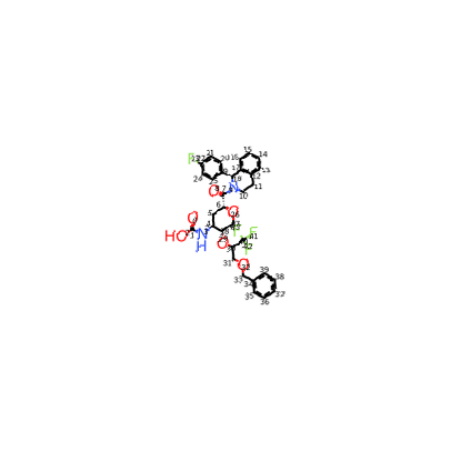 O=C(O)N[C@H]1C[C@H](C(=O)N2CCc3ccccc3[C@@H]2c2ccc(F)cc2)OC[C@@H]1OC(COCc1ccccc1)C(F)(F)F